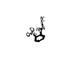 [N-]=[N+]=NNc1ccccc1[N+](=O)[O-]